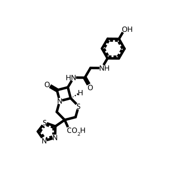 O=C(CNc1ccc(O)cc1)NC1C(=O)N2CC(C(=O)O)(c3nncs3)CS[C@H]12